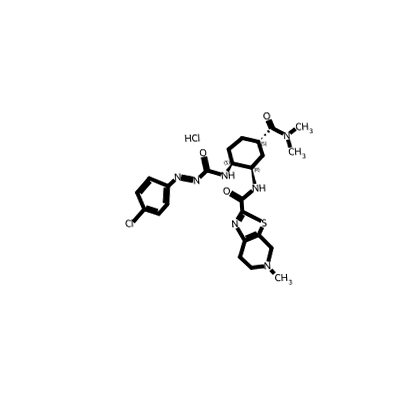 CN1CCc2nc(C(=O)N[C@@H]3C[C@@H](C(=O)N(C)C)CC[C@@H]3NC(=O)N=Nc3ccc(Cl)cc3)sc2C1.Cl